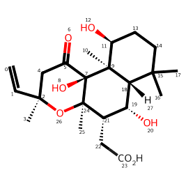 C=C[C@@]1(C)CC(=O)[C@]2(O)[C@@]3(C)[C@@H](O)CCC(C)(C)[C@@H]3[C@H](O)[C@H](CC(=O)O)[C@@]2(C)O1